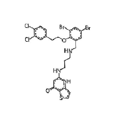 O=c1cc(NCCCNCc2cc(Br)cc(Br)c2OCCc2ccc(Cl)c(Cl)c2)[nH]c2ccsc12